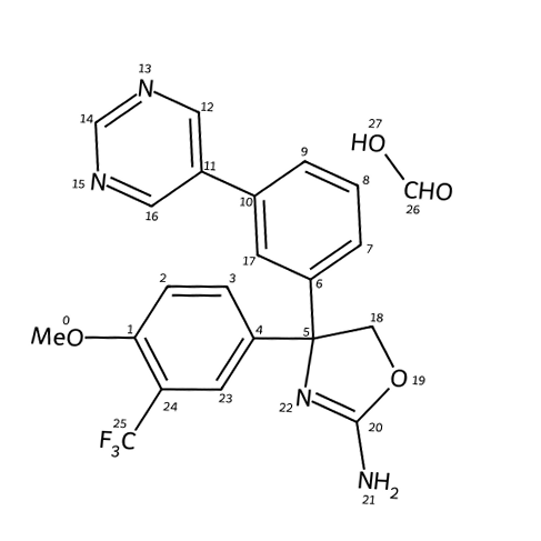 COc1ccc(C2(c3cccc(-c4cncnc4)c3)COC(N)=N2)cc1C(F)(F)F.O=CO